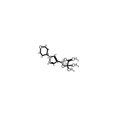 C=C1OB(c2cnn(C3CCOCC3)c2)OC1(C)C